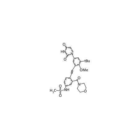 COc1c(C#Cc2ccc(NS(C)(=O)=O)cc2C(=O)N2CCOCC2)cc(-n2ccc(=O)[nH]c2=O)cc1C(C)(C)C